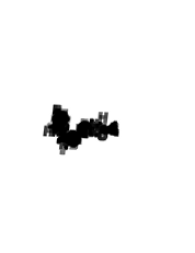 C[C@H](NC(=O)c1cn(C)c2ccc(-c3ccc4nc(NC(=O)C5CC5)nn4c3)cc12)c1cccc(F)c1